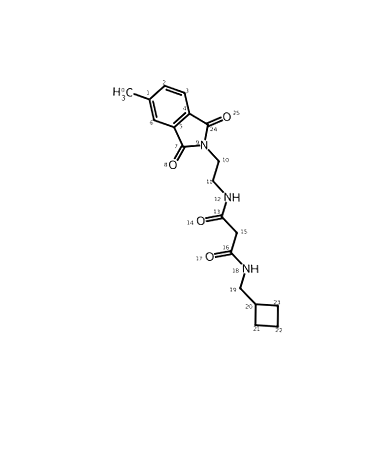 Cc1ccc2c(c1)C(=O)N(CCNC(=O)CC(=O)NCC1CCC1)C2=O